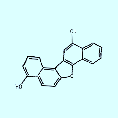 Oc1cc2c(oc3ccc4c(O)cccc4c32)c2ccccc12